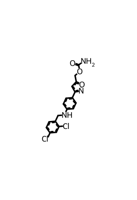 NC(=O)OCc1cc(-c2ccc(NCc3ccc(Cl)cc3Cl)cc2)no1